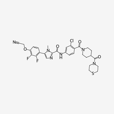 Cn1c(-c2ccc(OCC#N)c(F)c2F)cnc1C(=O)Nc1ccc(C(=O)N2CCC(C(=O)N3CCSCC3)CC2)c(Cl)c1